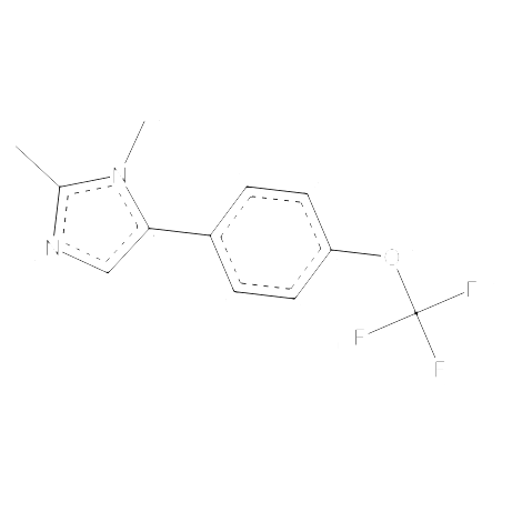 Cc1ncc(-c2ccc(OC(F)(F)F)cc2)n1C